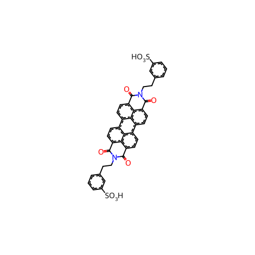 O=C1c2ccc3c4ccc5c6c(ccc(c7ccc(c2c37)C(=O)N1CCc1cccc(S(=O)(=O)O)c1)c64)C(=O)N(CCc1cccc(S(=O)(=O)O)c1)C5=O